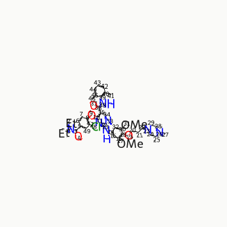 CCN(CC)C(=O)c1ccc(Oc2nc(Nc3cc(OC)c(OCCCN4CCN(C)CC4)c(OC)c3)ncc2C(=O)Nc2c(C)cccc2C)c(Cl)c1